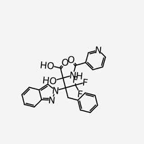 O=C(NC(O)(C(=O)O)C(Cc1ccccc1)(n1cc2ccccc2n1)C(F)(F)F)c1cccnc1